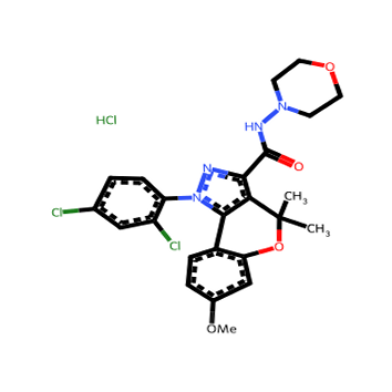 COc1ccc2c(c1)OC(C)(C)c1c(C(=O)NN3CCOCC3)nn(-c3ccc(Cl)cc3Cl)c1-2.Cl